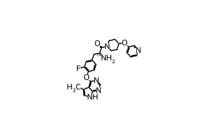 Cc1c[nH]c2ncnc(Oc3ccc(C[C@H](N)C(=O)N4CCC(Oc5cccnc5)CC4)cc3F)c12